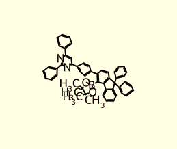 CC1(C)OB(c2c(-c3ccc(-c4cc(-c5ccccc5)nc(-c5ccccc5)n4)cc3)ccc3c2-c2ccccc2C3(c2ccccc2)c2ccccc2)OC1(C)C